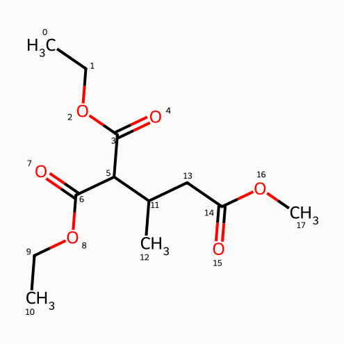 CCOC(=O)C(C(=O)OCC)C(C)CC(=O)OC